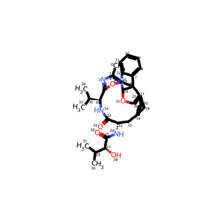 Cc1nc2oc1C13c4ccccc4NC1Oc1ccc(cc13)C[C@H](NC(=O)[C@@H](O)C(C)C)C(=O)N[C@H]2C(C)C